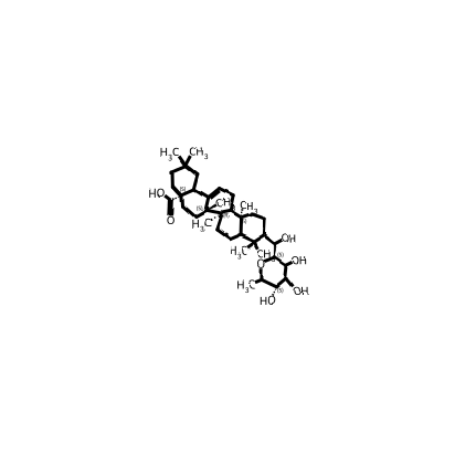 CC1O[C@@H](C(O)C2CC[C@@]3(C)C(CC[C@]4(C)C3CC=C3C5CC(C)(C)CC[C@]5(C(=O)O)CC[C@]34C)C2(C)C)C(O)C(O)[C@@H]1O